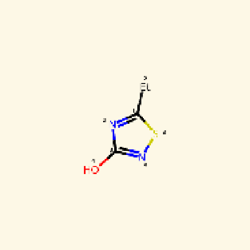 CCc1nc(O)ns1